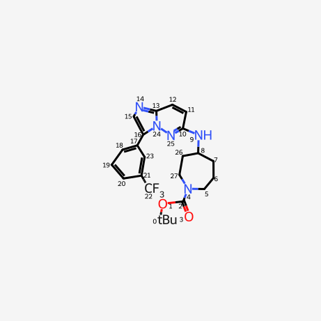 CC(C)(C)OC(=O)N1CCCC(Nc2ccc3ncc(-c4cccc(C(F)(F)F)c4)n3n2)CC1